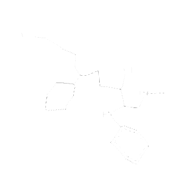 CCCCC(CCC(C)C(CNF)Nc1ccccc1)C1CCCCC1